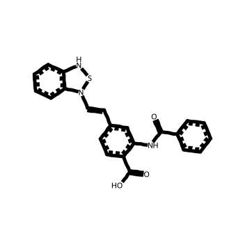 O=C(Nc1cc(C=CN2SNc3ccccc32)ccc1C(=O)O)c1ccccc1